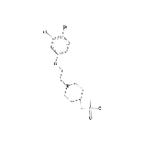 O=S1(=O)CC2(CCN(CCOc3cnc(Br)c(Cl)c3)CC2)C1